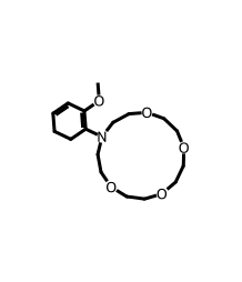 COC1=C(N2CCOCCOCCOCCOCC2)CCC=C1